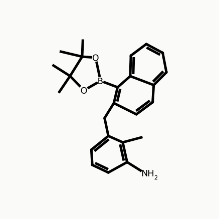 Cc1c(N)cccc1Cc1ccc2ccccc2c1B1OC(C)(C)C(C)(C)O1